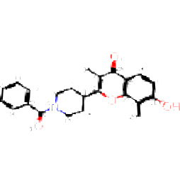 Cc1c(C2CCN(C(=O)c3ccccc3)CC2)oc2c(C)c(O)ccc2c1=O